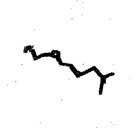 CC(C)COC/C=C/CN(C)C